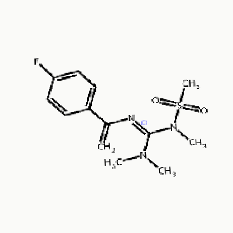 C=C(/N=C(\N(C)C)N(C)S(C)(=O)=O)c1ccc(F)cc1